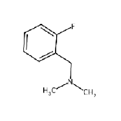 [CH2]N(C)Cc1ccccc1F